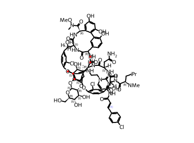 CN[C@H](CC(C)C)C(=O)N[C@H]1C(=O)N[C@@H](CC(N)=O)C(=O)N[C@H]2C(=O)N[C@H]3C(=O)N[C@H](C(=O)N[C@@H](C(=O)N(C)OC)c4cc(O)cc(O)c4-c4cc3ccc4O)[C@H](O)c3ccc(c(Cl)c3)Oc3cc2cc(c3O[C@@H]2O[C@H](CO)[C@@H](O)[C@H](O)[C@H]2O[C@H]2C[C@](C)(NCCn3ccc(NC(=O)/C=C/c4ccc(Cl)cc4)nc3=O)[C@H](O)[C@H](C)O2)Oc2ccc(cc2Cl)[C@H]1O